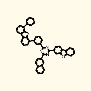 c1ccc(-c2cccc3c2sc2c(-c4cccc(-c5nc(-c6ccc7ccccc7c6)nc(-c6ccc7c(c6)oc6ccccc67)n5)c4)cccc23)cc1